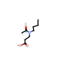 CCCCN(CCC(=O)O)C(C)=O